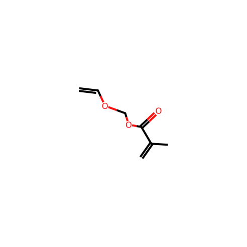 C=COCOC(=O)C(=C)C